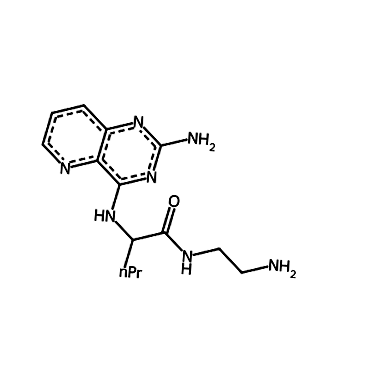 CCCC(Nc1nc(N)nc2cccnc12)C(=O)NCCN